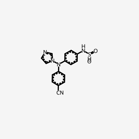 N#Cc1ccc(N(c2ccc(N[SH](=O)=O)cc2)n2ccnc2)cc1